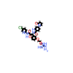 N=C(N)NOCCOc1ccc2oc(C(=O)Nc3ccc(Cl)cn3)c(NC(=O)C3CCC(N4CCCC4=O)CC3)c2c1